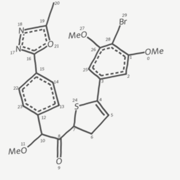 COc1cc(C2=CCC(C(=O)C(OC)c3ccc(-c4nnc(C)o4)cc3)S2)cc(OC)c1Br